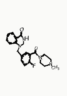 CN1CCN(C(=O)c2cc(CN3CNC(=O)c4ccccc43)ccc2F)CC1